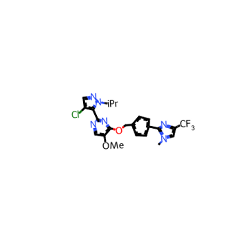 COc1cnc(-c2c(Cl)cnn2C(C)C)nc1OCc1ccc(-c2nc(C(F)(F)F)cn2C)cc1